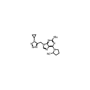 CC(C)(C)c1nc(N2CCCC2C#N)c2ncn(Cc3nnnn3C3CC3)c2n1